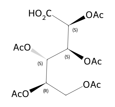 CC(=O)OC[C@@H](OC(C)=O)[C@H](OC(C)=O)[C@H](OC(C)=O)[C@H](OC(C)=O)C(=O)O